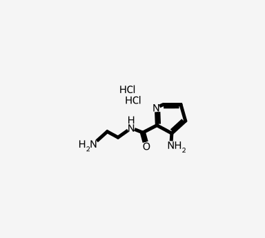 Cl.Cl.NCCNC(=O)c1ncccc1N